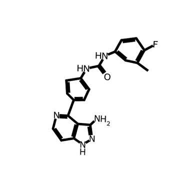 Cc1cc(NC(=O)Nc2ccc(-c3nccc4[nH]nc(N)c34)cc2)ccc1F